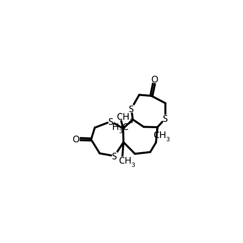 CC12CCCC3(C)SCC(=O)CSC3(C)C(C)(C1)SCC(=O)CS2